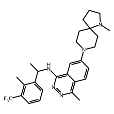 Cc1c(C(C)Nc2nnc(C)c3ccc(N4CCC5(CCCN5C)CC4)cc23)cccc1C(F)(F)F